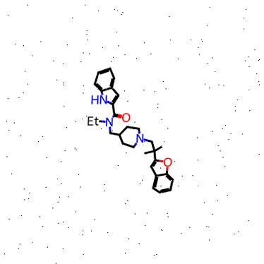 CCN(CC1CCN(CC(C)(C)c2cc3ccccc3o2)CC1)C(=O)c1cc2ccccc2[nH]1